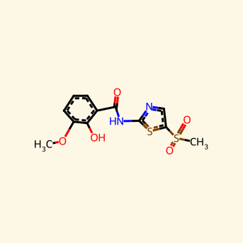 COc1cccc(C(=O)Nc2ncc(S(C)(=O)=O)s2)c1O